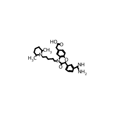 CC1CCCC(C)N1CCCCCN1C(=O)C(c2cccc(C(=N)N)c2)Oc2ccc(CC(=O)O)cc21